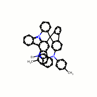 CCn1c2ccccc2c2cc3c4c(c5ccccc5n4-c4ccccc4C34c3ccccc3-c3ccc(N(c5ccc(C)cc5)c5ccc(C)cc5)cc34)c21